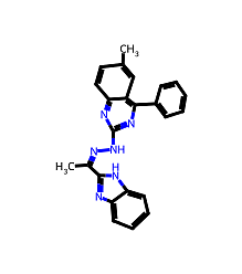 CC(=NNc1nc(-c2ccccc2)c2cc(C)ccc2n1)c1nc2ccccc2[nH]1